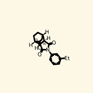 CCc1cccc(N2C(=O)[C@@H]3[C@H]4CC[C@H](C(=O)C4)[C@@H]3C2=O)c1